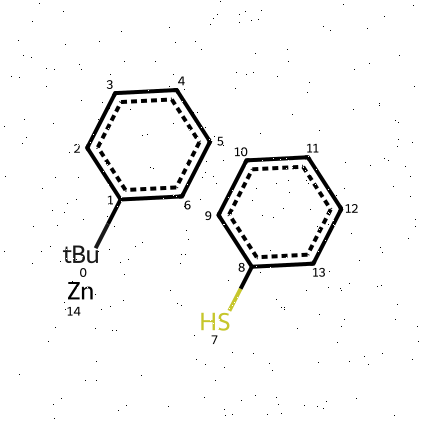 CC(C)(C)c1ccccc1.Sc1ccccc1.[Zn]